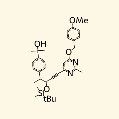 COc1ccc(COc2cc(C#CC(O[Si](C)(C)C(C)(C)C)C(C)c3ccc(C(C)(C)O)cc3)nc(C)n2)cc1